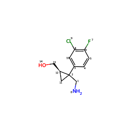 NCC1(c2ccc(F)c(Cl)c2)C[C@H]1CO